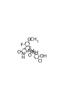 COc1cc(F)c([C@@H]2CC(=O)NC[C@H]2NC(=O)Nc2ccc(Cl)c(O)c2)c(F)c1